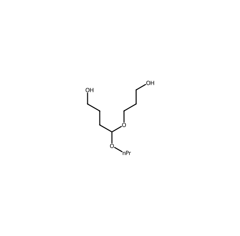 CCCOC(CCCO)OCCCO